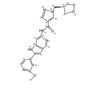 COc1nccc(-c2cc3cnc(NC(=O)c4cnn(C[C@H]5CCOC5)c4)cc3[nH]2)n1